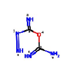 N=NC(=N)OC(=N)N